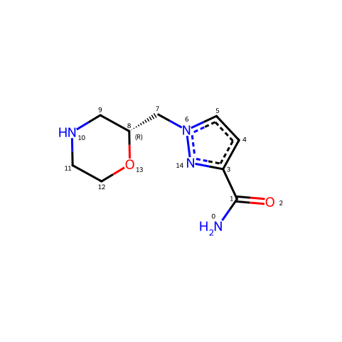 NC(=O)c1ccn(C[C@H]2CNCCO2)n1